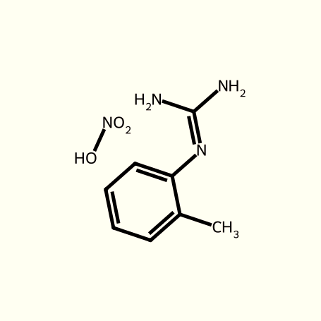 Cc1ccccc1N=C(N)N.O=[N+]([O-])O